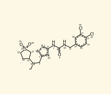 CN(Cc1nsc(NC(=O)NCc2ccc(Cl)c(Cl)c2)n1)C1CCS(=O)(=O)C1